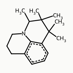 CC1N2CCCc3cccc(c32)C(C)(C)C1(C)C